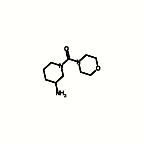 NC1CCCN(C(=O)N2CCOCC2)C1